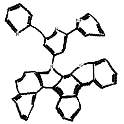 c1ccc(-c2cc(-n3c4ccc5ccccc5c4c4c5ccccc5c5c6ccccc6sc5c43)cc(-c3ccccn3)n2)nc1